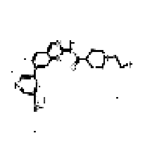 CC(C)CCN1CCC(C(=O)Nc2ncc3ccc(-c4cncc(NC(C)C)n4)cc3n2)CC1